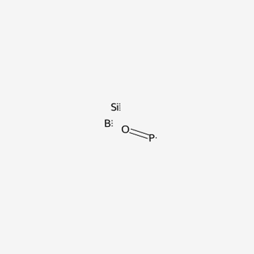 O=[P].[B].[Si]